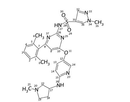 Cc1cccc(C)c1-c1cc(Oc2ccc(NC3CCN(C)C3)nc2)nc(NS(=O)(=O)c2cnn(C)c2)n1